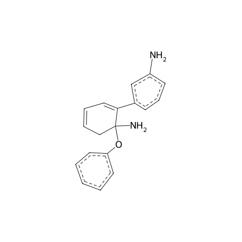 Nc1cccc(C2=CC=CCC2(N)Oc2ccccc2)c1